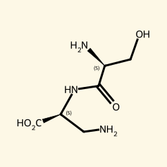 NC[C@H](NC(=O)[C@@H](N)CO)C(=O)O